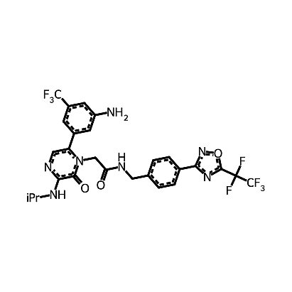 CC(C)Nc1ncc(-c2cc(N)cc(C(F)(F)F)c2)n(CC(=O)NCc2ccc(-c3noc(C(F)(F)C(F)(F)F)n3)cc2)c1=O